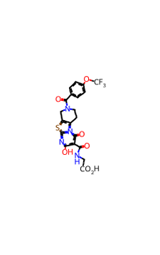 O=C(O)CNC(=O)c1c(O)nc2sc3c(n2c1=O)CCN(C(=O)c1ccc(OC(F)(F)F)cc1)C3